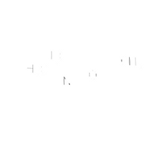 CCCOc1ccccc1N(CC)CC